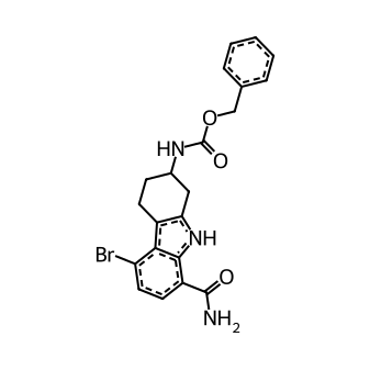 NC(=O)c1ccc(Br)c2c3c([nH]c12)CC(NC(=O)OCc1ccccc1)CC3